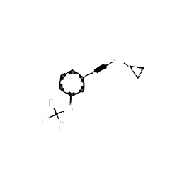 FC(F)(F)Oc1cccc(C#COC2CC2)c1